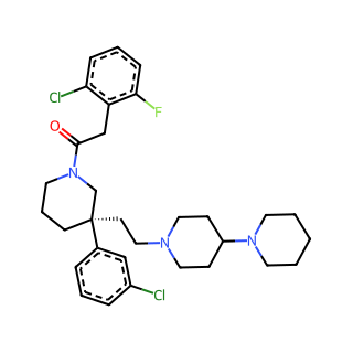 O=C(Cc1c(F)cccc1Cl)N1CCC[C@](CCN2CCC(N3CCCCC3)CC2)(c2cccc(Cl)c2)C1